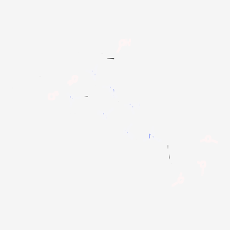 COc1cc(-n2cnc(Nc3nc(N4CCC[C@H]4CO)c4c(ccn4S(=O)(=O)Cc4ccccc4)n3)c2)cc(OC)c1OC